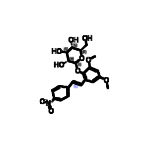 COc1cc(/C=C/c2ccc([N+](=O)[O-])cc2)c(O[C@@H]2O[C@H](CO)[C@@H](O)[C@H](O)[C@H]2O)c(OC)c1